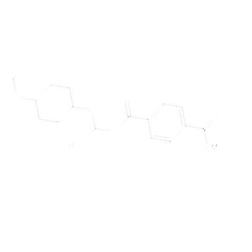 COC(=O)c1ccc(C(=O)OC(C)OC2CCC(OC(C)C)CC2)cc1